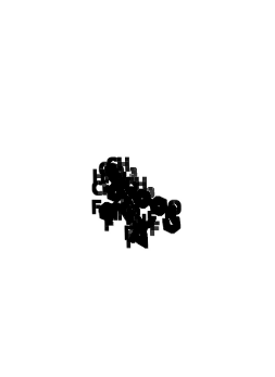 Cn1nc(NS(C)(=O)=O)c2c(Cl)ccc(-n3c([C@H](Cc4cc(F)cc(F)c4)NC(=O)Cn4nc(C(F)F)c5c4C(F)(F)C4=CC45)nc4cc(-c5ccc(C(=O)N6CCCCC6)cc5)ccc4c3=O)c21